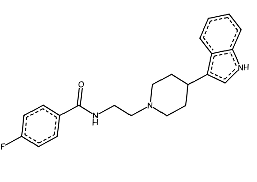 O=C(NCCN1CCC(c2c[nH]c3ccccc23)CC1)c1ccc(F)cc1